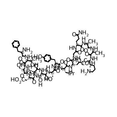 CC(C)C[C@H](NC(=O)[C@H](Cc1ccc(O)cc1)NC(=O)[C@H](CO)NC(=O)[C@H](CO)NC(=O)[C@@H](NC(=O)[C@H](CC(=O)O)NC(=O)[C@H](CO)NC(=O)[C@@H](NC(=O)[C@@H](N)Cc1ccccc1)[C@@H](C)O)C(C)C)C(=O)N[C@@H](CCC(=O)O)C(=O)NCC(=O)N[C@@H](CCC(N)=O)C(=O)N[C@@H](C)C(=O)N[C@@H](C)C(=O)N[C@@H](CCCCN)C(=O)O